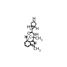 Cn1nc(C(C)(C)NC(=O)[C@H]2[C@@H]3CNC[C@@H]32)c2c(F)cccc21